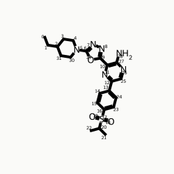 CCC1CCN(c2nnc(-c3nc(-c4ccc(S(=O)(=O)C(C)C)cc4)cnc3N)o2)CC1